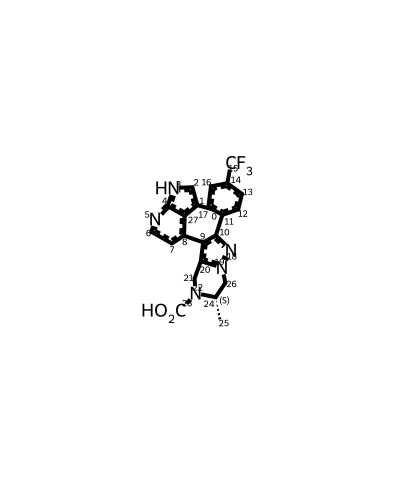 Cc1c[nH]c2nccc(-c3c(-c4ccc(C(F)(F)F)cc4)nn4c3CN(C(=O)O)[C@@H](C)C4)c12